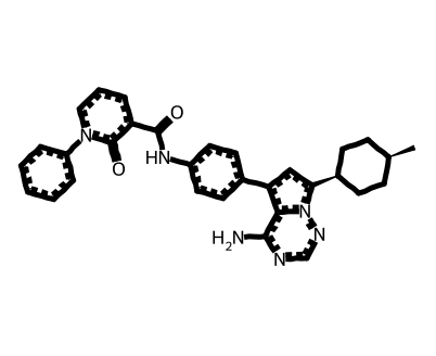 C[C@H]1CC[C@@H](c2cc(-c3ccc(NC(=O)c4cccn(-c5ccccc5)c4=O)cc3)c3c(N)ncnn32)CC1